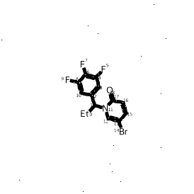 CCC(c1cc(F)c(F)c(F)c1)n1cc(Br)ccc1=O